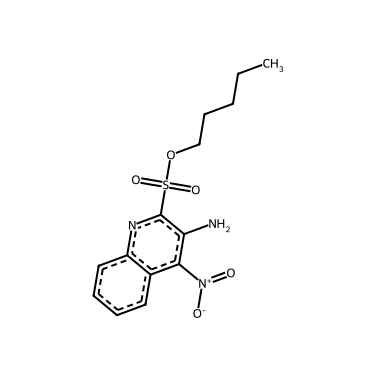 CCCCCOS(=O)(=O)c1nc2ccccc2c([N+](=O)[O-])c1N